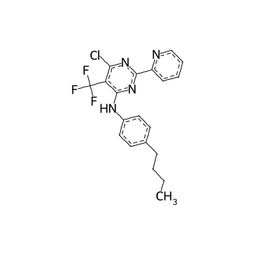 CCCCc1ccc(Nc2nc(-c3ccccn3)nc(Cl)c2C(F)(F)F)cc1